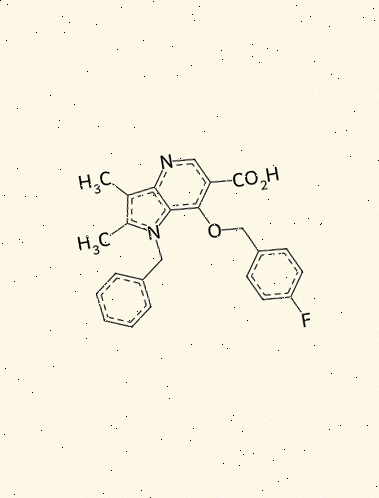 Cc1c(C)n(Cc2ccccc2)c2c(OCc3ccc(F)cc3)c(C(=O)O)cnc12